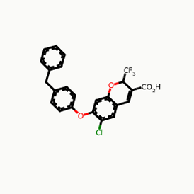 O=C(O)C1=Cc2cc(Cl)c(Oc3ccc(Cc4ccccc4)cc3)cc2OC1C(F)(F)F